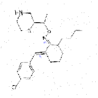 CCCCC1CCCC(=C\c2ccc(Cl)cc2)/C1=N/OC(C)C1CNCCO1